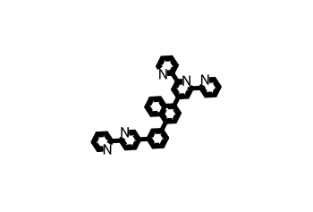 c1ccc(-c2ccc(-c3cccc(-c4ccc(-c5cc(-c6ccccn6)nc(-c6ccccn6)c5)c5ccccc45)c3)cn2)nc1